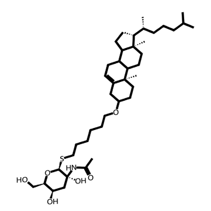 CC(=O)N[C@@]1(O)C[C@@H](O)[C@@H](CO)O[C@H]1SCCCCCCOC1CC[C@@]2(C)C(=CCC3C2CC[C@@]2(C)C3CC[C@@H]2[C@H](C)CCCC(C)C)C1